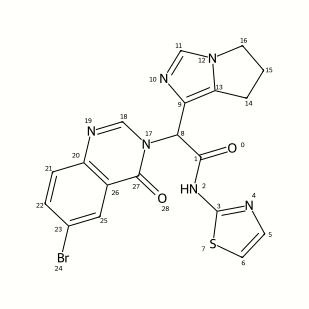 O=C(Nc1nccs1)C(c1ncn2c1CCC2)n1cnc2ccc(Br)cc2c1=O